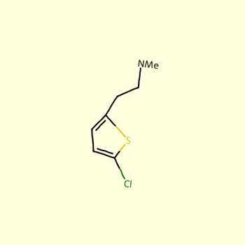 CNCCc1ccc(Cl)s1